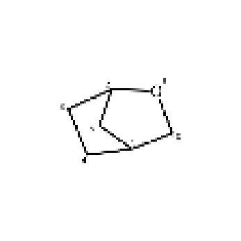 [CH]1OC2CCC1C2